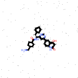 NCC1CCC(C(=O)N[C@@H](Cc2ccccc2)c2cc(-c3ccc4[nH]c(=O)cc(O)c4c3)ncn2)CC1